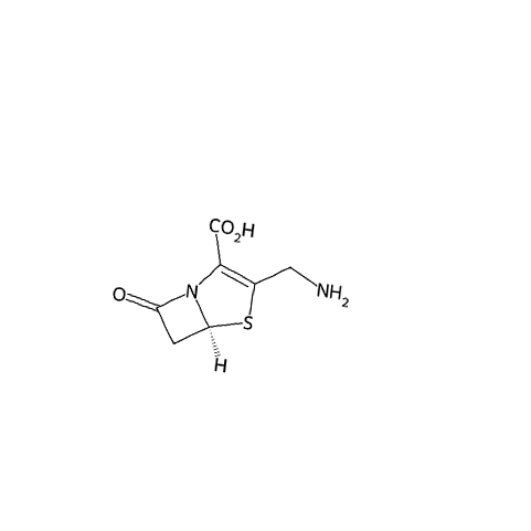 NCC1=C(C(=O)O)N2C(=O)C[C@@H]2S1